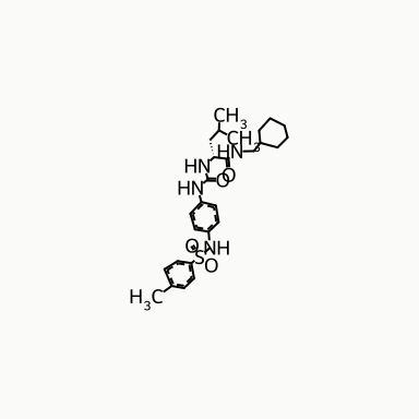 Cc1ccc(S(=O)(=O)Nc2ccc(NC(=O)N[C@H](CC(C)C)C(=O)NCC3CCCCC3)cc2)cc1